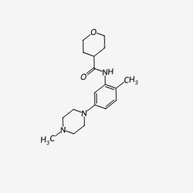 Cc1ccc(N2CCN(C)CC2)cc1NC(=O)C1CCOCC1